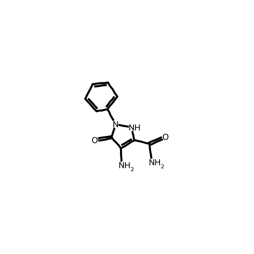 NC(=O)c1[nH]n(-c2ccccc2)c(=O)c1N